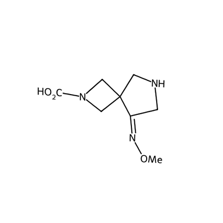 CON=C1CNCC12CN(C(=O)O)C2